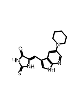 O=C1NC(=S)N/C1=C\c1c[nH]c2ncc(N3CCCCC3)cc12